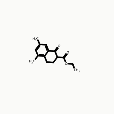 CCOC(=O)C1CCc2c(C)cc(C)cc2C1=O